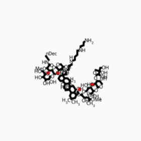 CCCCCCCCCCCCNC(=O)C(OC)C(O)C(OC1OCC(O)C(O)C1O)C(OC1OC(CO)C(O)C(O)C1O)O[C@H]1CC[C@@]2(C)C(CC[C@]3(C)C2CC=C2C4CC(C)(C)CC[C@]4(C(=O)OC(OC4OC(C)C(OC5OCC(O)C(OC6OCC(O)(CO)C6O)C5O)C(O)C4O)C(O)C(O)C(C)OC)[C@H](O)C[C@]23C)[C@]1(C)CNCCCNCCCCNCCCN